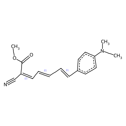 COC(=O)\C(C#N)=C/C=C/C=C/c1ccc(N(C)C)cc1